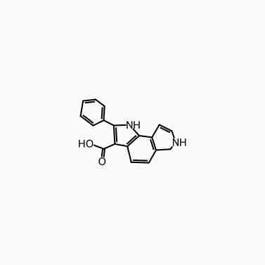 O=C(O)c1c(-c2ccccc2)[nH]c2c3c(ccc12)CNC=C3